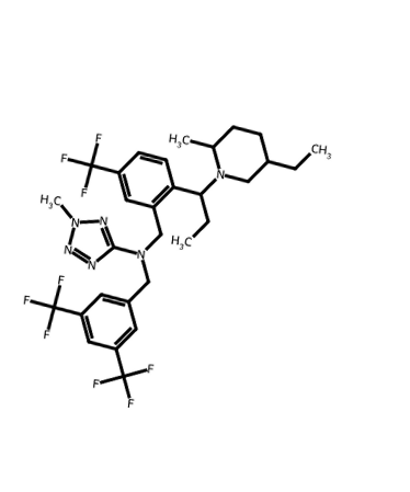 CCC1CCC(C)N(C(CC)c2ccc(C(F)(F)F)cc2CN(Cc2cc(C(F)(F)F)cc(C(F)(F)F)c2)c2nnn(C)n2)C1